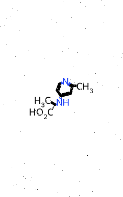 Cc1cc(N[C@@H](C)C(=O)O)ccn1